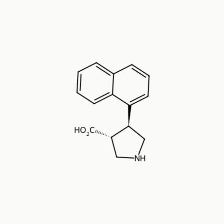 O=C(O)[C@H]1CNC[C@@H]1c1cccc2ccccc12